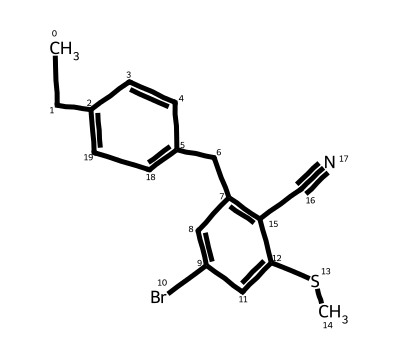 CCc1ccc(Cc2cc(Br)cc(SC)c2C#N)cc1